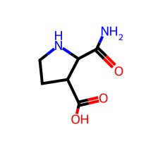 NC(=O)C1NCCC1C(=O)O